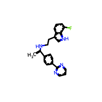 C=C(NCCc1c[nH]c2c(F)cccc12)c1ccc(-c2ncccn2)cc1